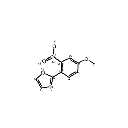 COc1ccc(-c2ncco2)c([N+](=O)[O-])c1